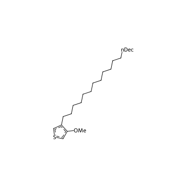 CCCCCCCCCCCCCCCCCCCCCCc1cscc1OC